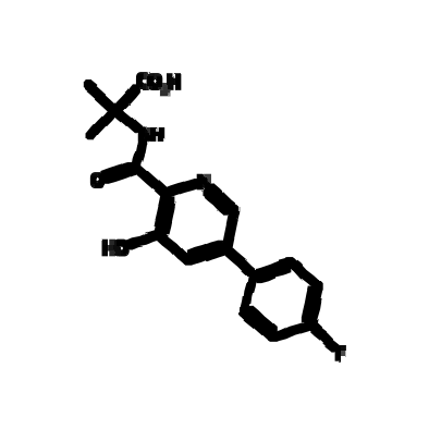 CC(C)(NC(=O)c1ncc(-c2ccc(F)cc2)cc1O)C(=O)O